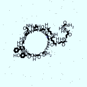 CC(C)C[C@@H]1NN[C@@H](CCC(N)=O)C(=O)CN[C@@H](C)C(=O)CC(=O)[C@H](Cc2c[nH]c3ccccc23)NN[C@@H](Cc2ccc(O)cc2)C(=O)CN[C@@H](C)C(=O)CC(=O)[C@](C)(N)CCCCCC/C=C/CCC[C@@](C)(C(=O)CN[C@@H](C)C(=O)CCN[C@@H](C)C(=O)CCC(=O)[C@H](C)NCCC(=O)[C@H](C)NCCC(=O)[C@H](C)NCN[C@H](C)C(N)=O)NC1=O